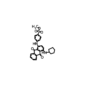 COS(=O)(=O)c1ccc(Nc2ccc(NC3CCCCC3)c3c2C(=O)c2ccccc2C3=O)cc1